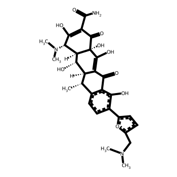 C[C@H]1c2ccc(-c3ccc(CN(C)C)o3)c(O)c2C(=O)C2=C(O)[C@]3(O)C(=O)C(C(N)=O)=C(O)[C@@H](N(C)C)[C@@H]3[C@@H](O)[C@@H]21